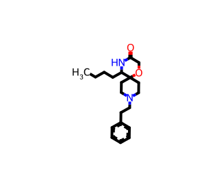 CCCCC1NC(=O)COC12CCN(CCc1ccccc1)CC2